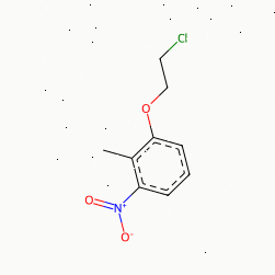 Cc1c(OCCCl)cccc1[N+](=O)[O-]